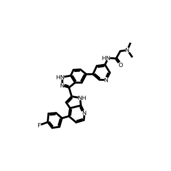 CN(C)CC(=O)Nc1cncc(-c2ccc3[nH]nc(-c4cc5c(-c6ccc(F)cc6)ccnc5[nH]4)c3c2)c1